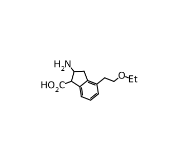 CCOCCc1cccc2c1CC(N)C2C(=O)O